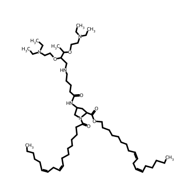 CCCCC/C=C\C/C=C\CCCCCCCCOC(=O)C1CC(NC(=O)CCCCNCC(OCCN(CC)CC)C(C)OCCN(CC)CC)CN1C(=O)CCCCCCC/C=C\C/C=C\CCCCC